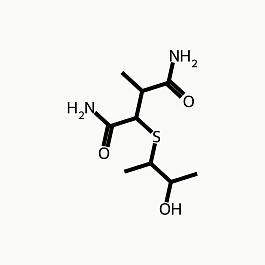 CC(O)C(C)SC(C(N)=O)C(C)C(N)=O